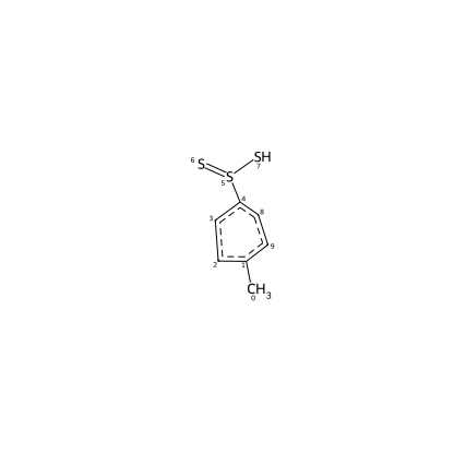 Cc1ccc(S(=S)S)cc1